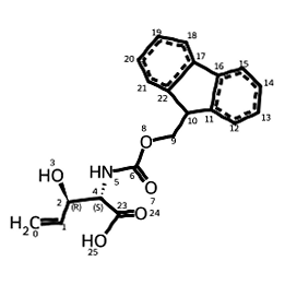 C=C[C@@H](O)[C@H](NC(=O)OCC1c2ccccc2-c2ccccc21)C(=O)O